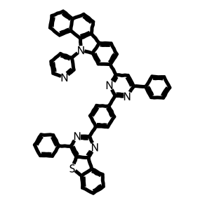 c1ccc(-c2cc(-c3ccc4c5ccc6ccccc6c5n(-c5cccnc5)c4c3)nc(-c3ccc(-c4nc(-c5ccccc5)c5sc6ccccc6c5n4)cc3)n2)cc1